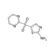 Nc1ncc(S(=O)(=O)c2ncccn2)s1